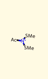 CS[N+](SC)C(C)=O